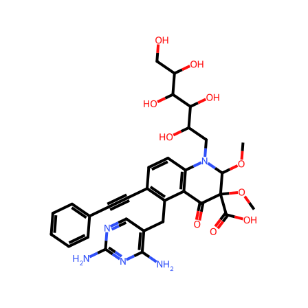 COC1N(CC(O)C(O)C(O)C(O)CO)c2ccc(C#Cc3ccccc3)c(Cc3cnc(N)nc3N)c2C(=O)C1(OC)C(=O)O